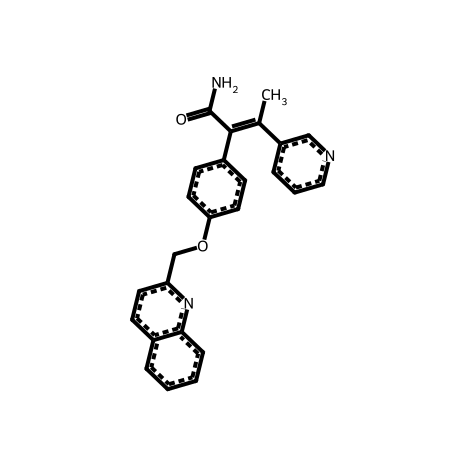 CC(=C(C(N)=O)c1ccc(OCc2ccc3ccccc3n2)cc1)c1cccnc1